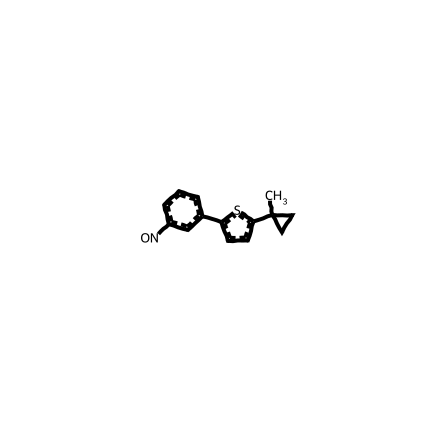 CC1(c2ccc(-c3cccc(N=O)c3)s2)CC1